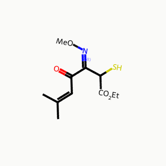 CCOC(=O)C(S)/C(=N/OC)C(=O)C=C(C)C